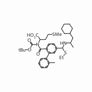 CCSC(NC(C)CC1CCCCC1)c1ccc(C(=O)N(C(=O)OC(C)(C)C)C(CCSC)C(=O)O)c(-c2ccccc2C)c1